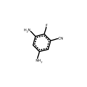 N#Cc1cc(N)cc(N)c1F